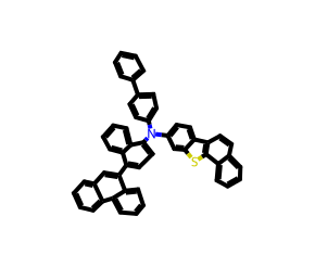 c1ccc(-c2ccc(N(c3ccc4c(c3)sc3c5ccccc5ccc43)c3ccc(-c4cc5ccccc5c5ccccc45)c4ccccc34)cc2)cc1